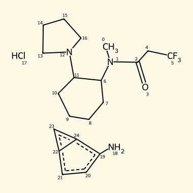 CN(C(=O)CC(F)(F)F)C1CCCCC1N1CCCC1.Cl.Nc1ccc2cc1-2